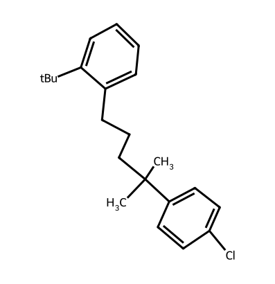 CC(C)(C)c1ccccc1CCCC(C)(C)c1ccc(Cl)cc1